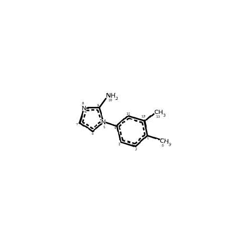 Cc1ccc(-n2ccnc2N)cc1C